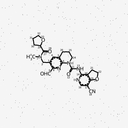 CN(Cc1cc2c(nc1C=O)N(C(=O)Nc1ncc(C#N)c3c1CCO3)CCC2)C(=O)C1CCCO1